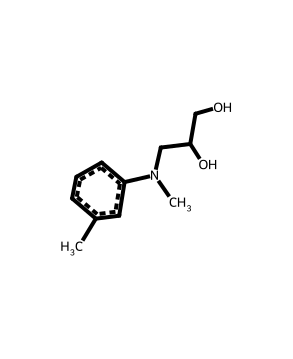 Cc1cccc(N(C)CC(O)CO)c1